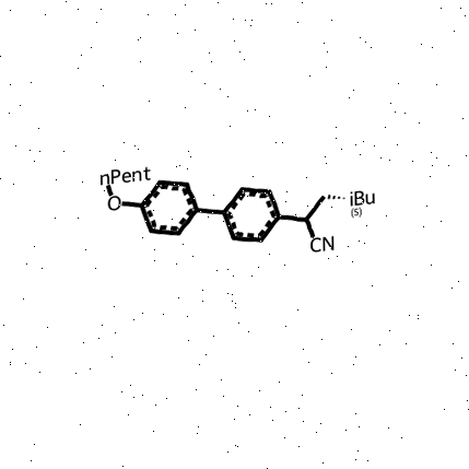 CCCCCOc1ccc(-c2ccc(C(C#N)C[C@@H](C)CC)cc2)cc1